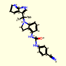 [2H]C([2H])(c1c[nH]c2ncccc12)N1CCc2c(NC(=O)Nc3ccc(C#N)cc3)cccc21